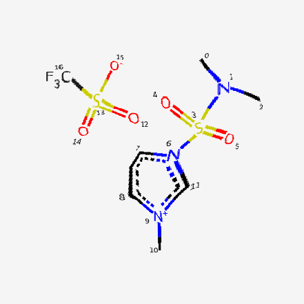 CN(C)S(=O)(=O)n1cc[n+](C)c1.O=S(=O)([O-])C(F)(F)F